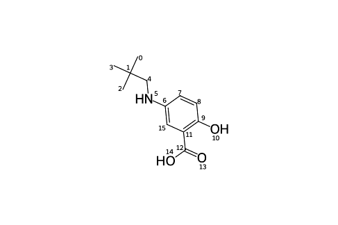 CC(C)(C)CNc1ccc(O)c(C(=O)O)c1